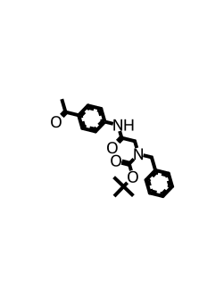 CC(=O)c1ccc(NC(=O)CN(Cc2ccccc2)C(=O)OC(C)(C)C)cc1